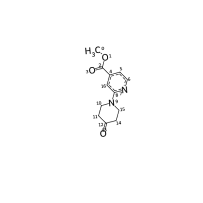 COC(=O)c1ccnc(N2CCC(=O)CC2)c1